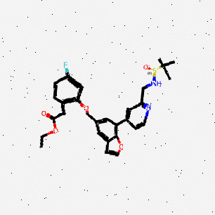 CCOC(=O)Cc1ccc(F)cc1OCc1cc(-c2ccnc(CN[S@@+]([O-])C(C)(C)C)c2)c2occc2c1